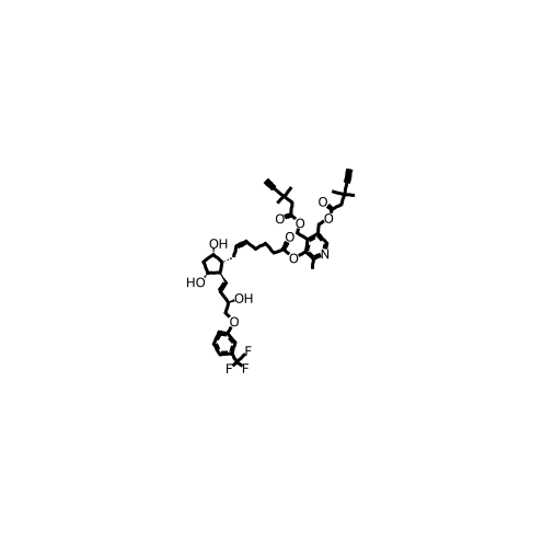 C#CC(C)(C)CC(=O)OCc1cnc(C)c(OC(=O)CCC/C=C\C[C@@H]2[C@@H](/C=C/[C@@H](O)COc3cccc(C(F)(F)F)c3)[C@H](O)C[C@@H]2O)c1COC(=O)CC(C)(C)C#C